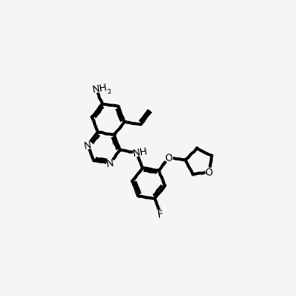 C=Cc1cc(N)cc2ncnc(Nc3ccc(F)cc3OC3CCOC3)c12